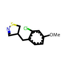 COc1ccc(CC2C=NSC2)c(Cl)c1